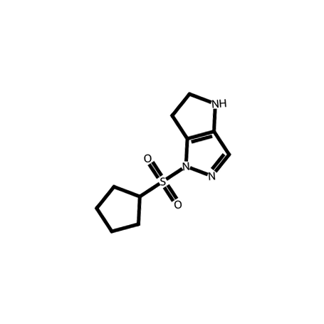 O=S(=O)(C1CCCC1)n1ncc2c1CCN2